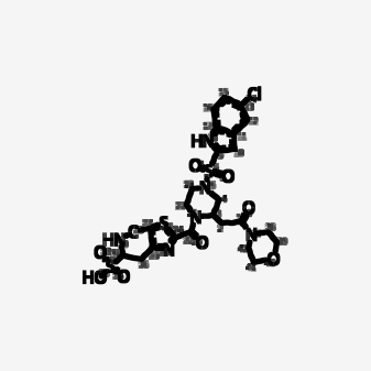 O=C(CC1CN(S(=O)(=O)c2cc3cc(Cl)ccc3[nH]2)CCN1C(=O)c1nc2c(s1)CNC(S(=O)(=O)O)C2)N1CCOCC1